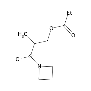 CCC(=O)OCC(C)[S+]([O-])N1CCC1